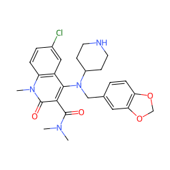 CN(C)C(=O)c1c(N(Cc2ccc3c(c2)OCO3)C2CCNCC2)c2cc(Cl)ccc2n(C)c1=O